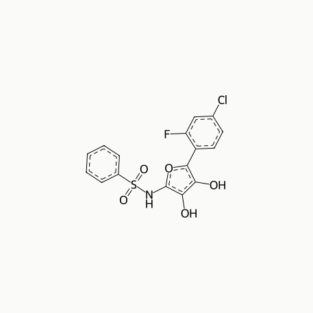 O=S(=O)(Nc1oc(-c2ccc(Cl)cc2F)c(O)c1O)c1ccccc1